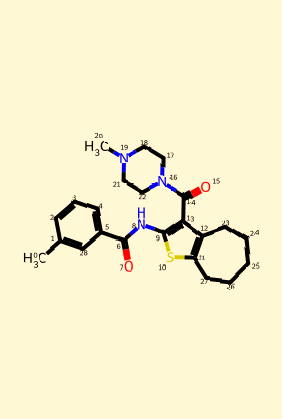 Cc1cccc(C(=O)Nc2sc3c(c2C(=O)N2CCN(C)CC2)CCCCC3)c1